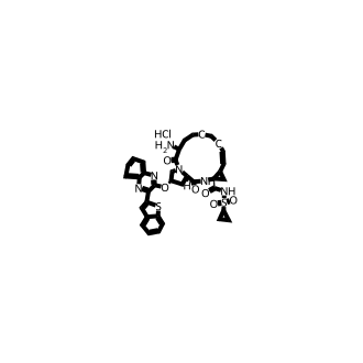 Cl.NC1CCCCC/C=C\C2C[C@@]2(C(=O)NS(=O)(=O)C2CC2)NC(=O)[C@@H]2C[C@@H](Oc3nc4ccccc4nc3-c3cc4ccccc4s3)CN2C1=O